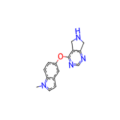 Cn1ccc2cc(Oc3ncnc4c3CNC4)ccc21